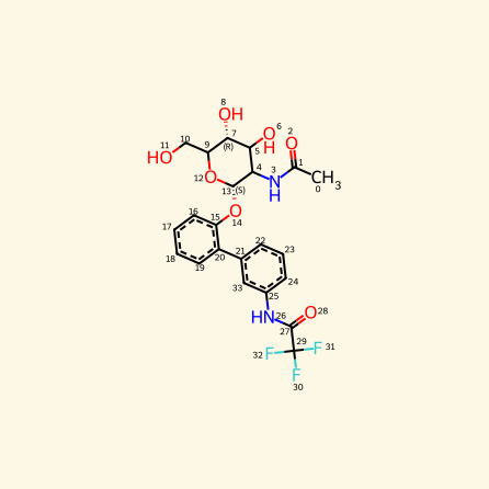 CC(=O)NC1C(O)[C@@H](O)C(CO)O[C@H]1Oc1ccccc1-c1cccc(NC(=O)C(F)(F)F)c1